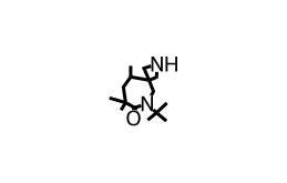 CC1CC(C)(C)C(=O)N(C(C)(C)C)CC12CNC2